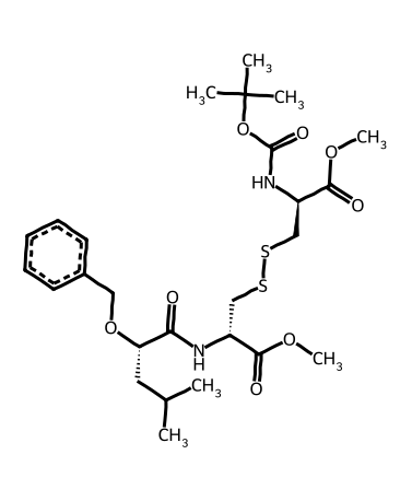 COC(=O)[C@@H](CSSC[C@@H](NC(=O)[C@H](CC(C)C)OCc1ccccc1)C(=O)OC)NC(=O)OC(C)(C)C